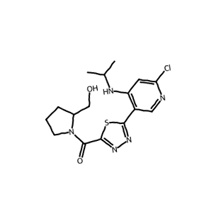 CC(C)Nc1cc(Cl)ncc1-c1nnc(C(=O)N2CCCC2CO)s1